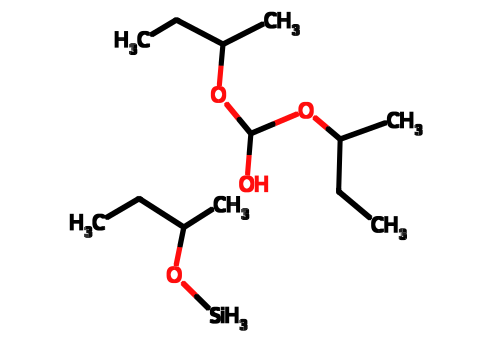 CCC(C)OC(O)OC(C)CC.CCC(C)O[SiH3]